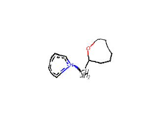 c1ccn([SiH2]C2CCCCO2)c1